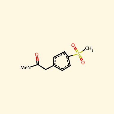 CNC(=O)Cc1ccc(S(C)(=O)=O)cc1